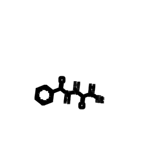 CCNC(=O)NNC(=O)c1ccccc1